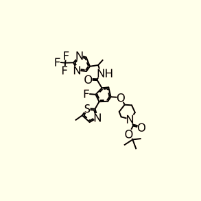 Cc1cnc(-c2cc(OC3CCN(C(=O)OC(C)(C)C)CC3)cc(C(=O)NC(C)c3cnc(C(F)(F)F)nc3)c2F)s1